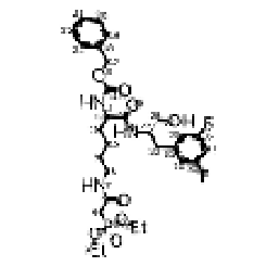 CCOP(=O)(CC(=O)NCCCCC(NC(=O)OCc1ccccc1)C(=O)N[C@H](CO)Cc1cc(F)cc(F)c1)OCC